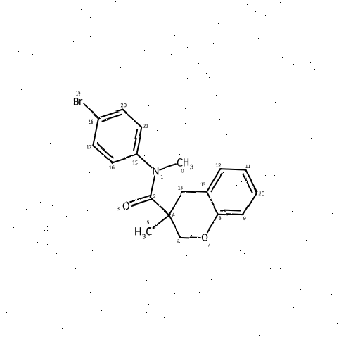 CN(C(=O)C1(C)COc2ccccc2C1)c1ccc(Br)cc1